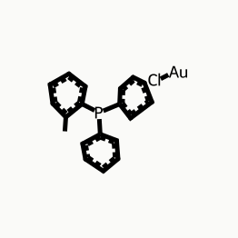 Cc1ccccc1P(c1ccccc1)c1ccccc1.[Cl][Au]